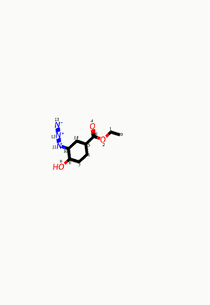 CCOC(=O)C1CCC(O)C(N=[N+]=[N-])C1